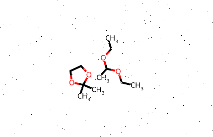 CC1(C)OCCO1.CCOC(C)OCC